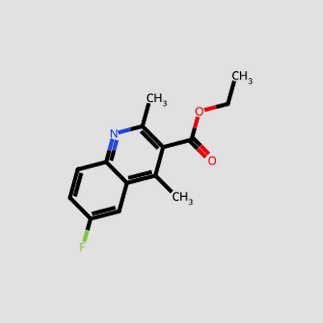 CCOC(=O)c1c(C)nc2ccc(F)cc2c1C